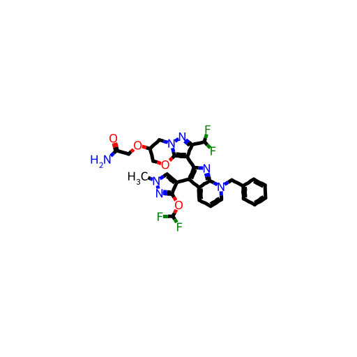 Cn1cc(-c2c3cccn(Cc4ccccc4)c-3nc2-c2c(C(F)F)nn3c2OCC(OCC(N)=O)C3)c(OC(F)F)n1